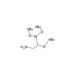 CCCCOC(C[SiH3])N(OCCCC)OCCCC